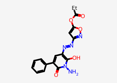 CCC(=O)Oc1cc(N=Nc2cc(-c3ccccc3)c(=O)n(N)c2O)no1